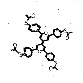 CC(=O)Sc1ccc(C2=CC(=C3C=C(c4ccc(SC(C)=O)cc4)OC(c4ccc(SC(C)=O)cc4)=C3)C=C(c3ccc(SC(C)=O)cc3)O2)cc1